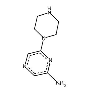 Nc1cncc(N2CCNCC2)n1